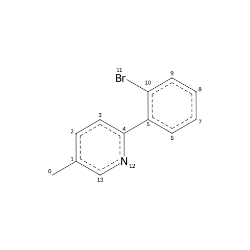 Cc1ccc(-c2ccccc2Br)nc1